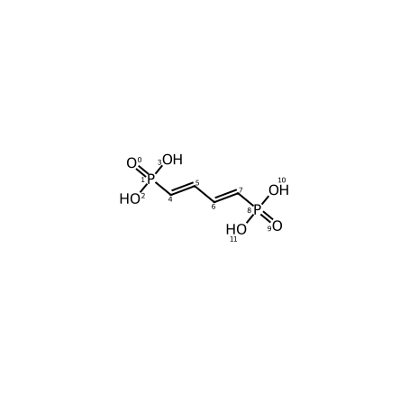 O=P(O)(O)C=CC=CP(=O)(O)O